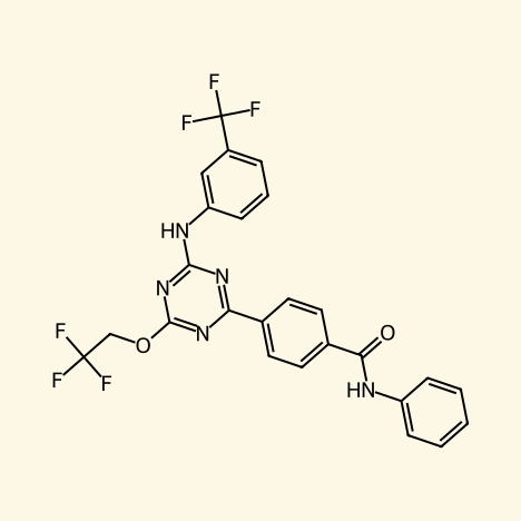 O=C(Nc1ccccc1)c1ccc(-c2nc(Nc3cccc(C(F)(F)F)c3)nc(OCC(F)(F)F)n2)cc1